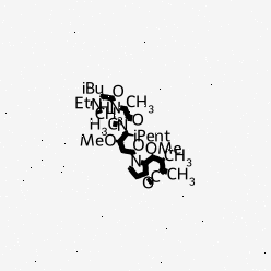 CCC[C@H](C)C([C@@H](CC(=O)N1CCCC1[C@H](OC)[C@@H](C)C(C)=C=O)OC)N(C)C(=O)[C@H](C)NC(=O)[C@H](C(C)CC)N(C)CC